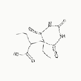 CCC(C(=O)O)C1(CC)C(=O)NC(=O)NC1=O